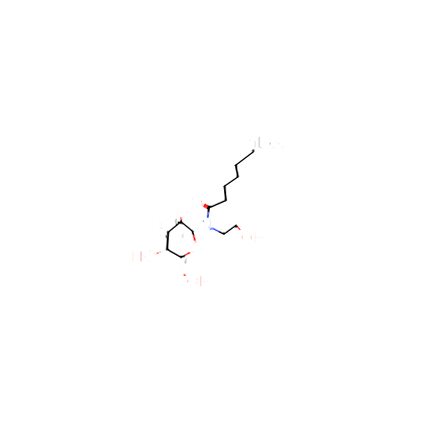 CCCCCCCCCCCCCCCC(=O)N(CCO)[C@@H]1O[C@H](CO)[C@@H](O)[C@H](O)[C@H]1O